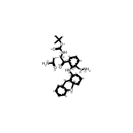 CC(C)(C)OC(=O)N[C@@H](CC(N)=O)C(=O)c1cccc(SN)c1Nc1cccc2c1Cc1ccccc1O2